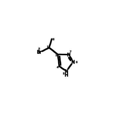 CC(Br)c1c[nH]nn1